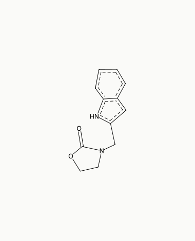 O=C1OCCN1Cc1cc2ccccc2[nH]1